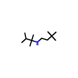 CC(C)C(C)(C)NCCC(C)(C)C